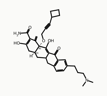 C=C1C(C(N)=O)=C(O)C[C@@H]2CC3Cc4ccc(CCCN(C)C)cc4C(=O)C3=C(O)[C@]12OCC#CC1CCC1